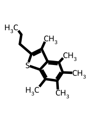 CCCc1sc2c(C)c(C)c(C)c(C)c2c1C